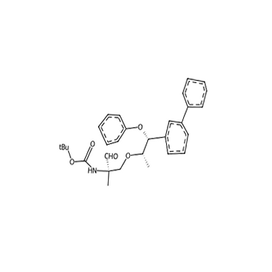 C[C@H](OC[C@](C)(C=O)NC(=O)OC(C)(C)C)[C@H](Oc1ccccc1)c1cccc(-c2ccccc2)c1